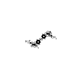 CCOC(=O)C(C)(C)Oc1ccc(SSc2ccc(OC(C)(C)C(=O)OCC)cc2)cc1